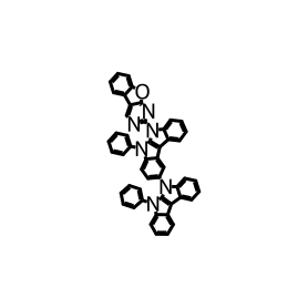 c1ccc(-n2c3ccccc3c3c4ccccc4n(-c4ccc5c(c4)c4c6ccccc6n(-c6ncc7c(n6)oc6ccccc67)c4n5-c4ccccc4)c32)cc1